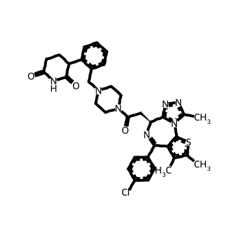 Cc1sc2c(c1C)C(c1ccc(Cl)cc1)=N[C@@H](CC(=O)N1CCN(Cc3ccccc3C3CCC(=O)NC3=O)CC1)c1nnc(C)n1-2